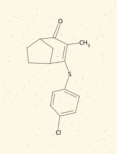 CC1=C(Sc2ccc(Cl)cc2)C2CCC(C2)C1=O